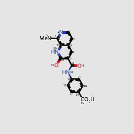 CNc1nccc2cc(C(=O)Nc3ccc(C(=O)O)cc3)c(=O)[nH]c12